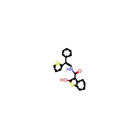 O=C(NC=C(c1ccccc1)c1cccs1)c1c(O)sc2ccccc12